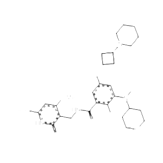 CCN(c1cc(O[C@H]2C[C@H](N3CCCCC3)C2)cc(C(=O)NCc2c(OC)cc(C)[nH]c2=O)c1C)C1CCOCC1